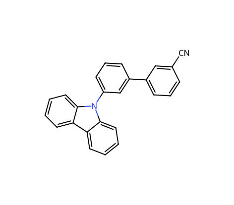 N#Cc1cccc(-c2cccc(-n3c4ccccc4c4ccccc43)c2)c1